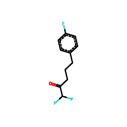 O=C(CCCc1ccc(F)cc1)C(F)F